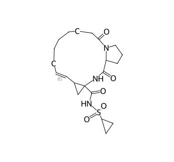 O=C1NC2(C(=O)NS(=O)(=O)C3CC3)CC2/C=C/CCCCCCC(=O)N2CCCC12